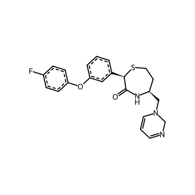 O=C1N[C@H](CN2C=CC=NC2)CCS[C@@H]1c1cccc(Oc2ccc(F)cc2)c1